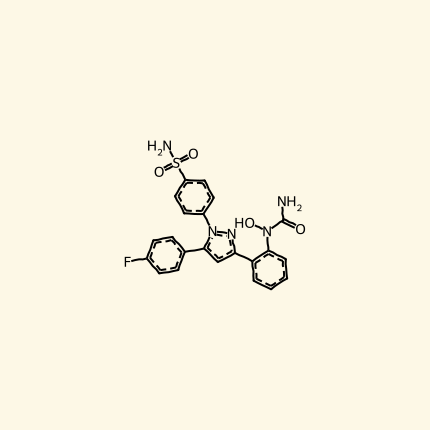 NC(=O)N(O)c1ccccc1-c1cc(-c2ccc(F)cc2)n(-c2ccc(S(N)(=O)=O)cc2)n1